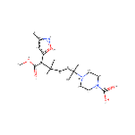 COC(=O)C(c1cc(C)no1)C(C)(C)CCC(C)(C)N1CCN(C(=O)O)CC1